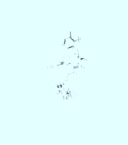 CN(C(=O)NCc1cccc(F)c1F)[C@@H](CCCOP(=O)(OC(C)(C)C)OC(C)(C)C)CO[Si](C)(C)C(C)(C)C